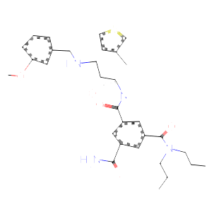 CCCN(CCC)C(=O)c1cc(C(N)=O)cc(C(=O)N[C@@H](Cc2ccsc2)[C@H](O)CNCc2cccc(OC)c2)c1